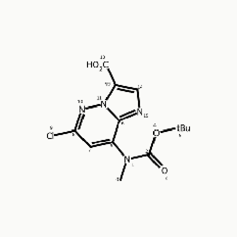 CN(C(=O)OC(C)(C)C)c1cc(Cl)nn2c(C(=O)O)cnc12